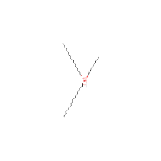 CCCCCCCCCCCCCCCCCCO[SiH](OCCCCCCCCCCC)OCCCCCCCCCCCCCCCCCC